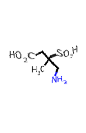 CC(CN)(CC(=O)O)S(=O)(=O)O